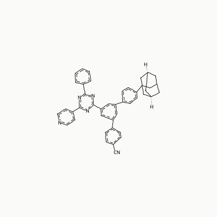 N#Cc1ccc(-c2cc(-c3ccc(C45CC6C[C@H](C4)C[C@@H](C6)C5)cc3)cc(-c3nc(-c4ccccc4)nc(-c4ccncc4)n3)c2)cc1